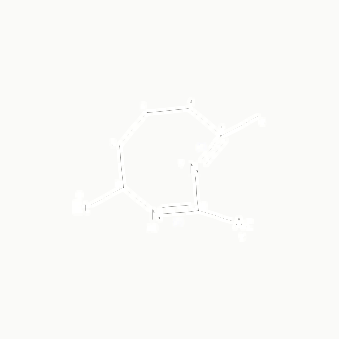 CCC1CCC/C(C)=N/C(C(C)=O)=N\1